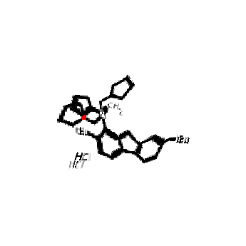 Cl.Cl.[CH2]=[Zr]([CH2]C1CCCC1)([CH2]C1CCCC1)([C]1=CC=CC1)[c]1c(C(C)(C)C)ccc2c1Cc1cc(C(C)(C)C)ccc1-2